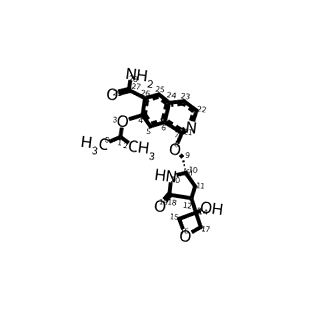 CC(C)Oc1cc2c(OC[C@@H]3CC(C4(O)COC4)C(=O)N3)nccc2cc1C(N)=O